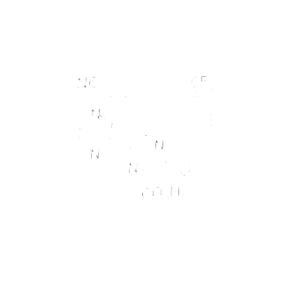 CC1(c2ccc(C#N)cc2)C(c2cnccn2)=NC(C(=O)O)C(=O)N1c1cccc(C(F)(F)F)c1